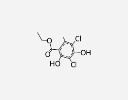 CCOC(=O)c1c(C)c(Cl)c(O)c(Cl)c1O